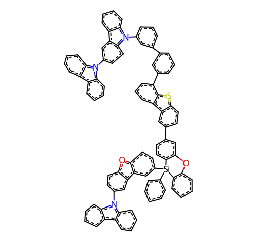 c1ccc([Si]2(c3ccc4oc5ccc(-n6c7ccccc7c7ccccc76)cc5c4c3)c3ccccc3Oc3cc(-c4ccc5sc6c(-c7cccc(-c8cccc(-n9c%10ccccc%10c%10cc(-n%11c%12ccccc%12c%12ccccc%12%11)ccc%109)c8)c7)cccc6c5c4)ccc32)cc1